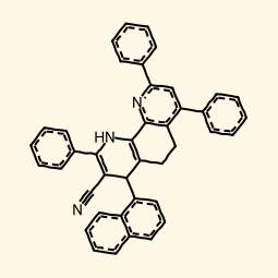 N#CC1=C(c2ccccc2)NC2=C(CCc3c(-c4ccccc4)cc(-c4ccccc4)nc32)C1c1cccc2ccccc12